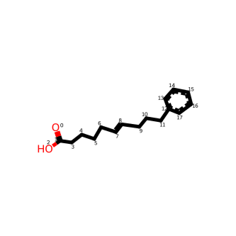 O=C(O)CCCCC=CCCCc1ccccc1